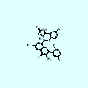 Cc1cc([C@@H](C)Oc2ccc(Cl)nc2-c2noc(=O)[nH]2)c2oc(-c3cc(F)cnc3F)c(C)c(=O)c2c1